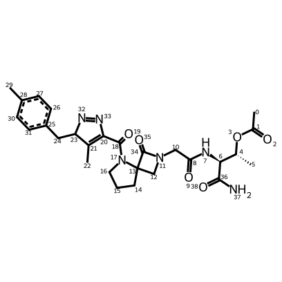 CC(=O)O[C@H](C)[C@H](NC(=O)CN1CC2(CCCN2C(=O)C2=C(C)C(Cc3ccc(C)cc3)N=N2)C1=O)C(N)=O